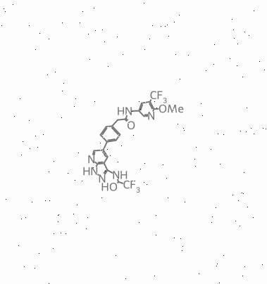 COc1ncc(NC(=O)Cc2ccc(-c3cnc4[nH]nc(NC(O)C(F)(F)F)c4c3)cc2)cc1C(F)(F)F